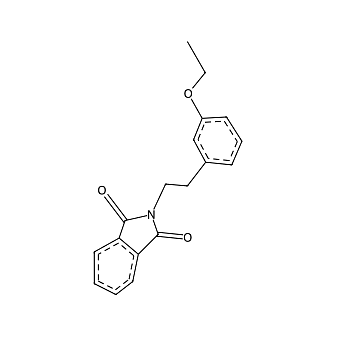 CCOc1cccc(CCN2C(=O)c3ccccc3C2=O)c1